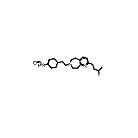 O=CNC1CCC(CCN2CCc3ccc(CCC(F)F)nc3CC2)CC1